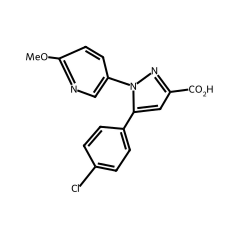 COc1ccc(-n2nc(C(=O)O)cc2-c2ccc(Cl)cc2)cn1